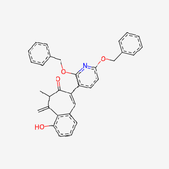 C=C1c2c(O)cccc2C=C(c2ccc(OCc3ccccc3)nc2OCc2ccccc2)C(=O)C1C